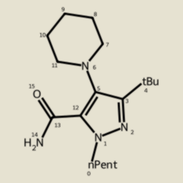 CCCCCn1nc(C(C)(C)C)c(N2CCCCC2)c1C(N)=O